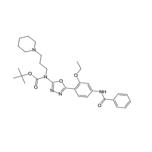 CCOc1cc(NC(=O)c2ccccc2)ccc1-c1nnc(N(CCCN2CCCCC2)C(=O)OC(C)(C)C)o1